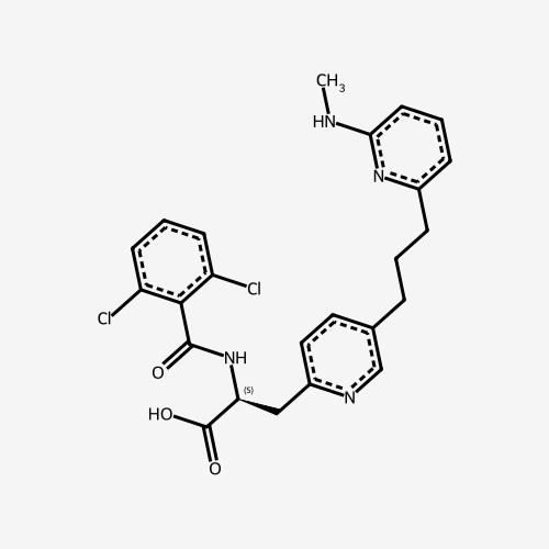 CNc1cccc(CCCc2ccc(C[C@H](NC(=O)c3c(Cl)cccc3Cl)C(=O)O)nc2)n1